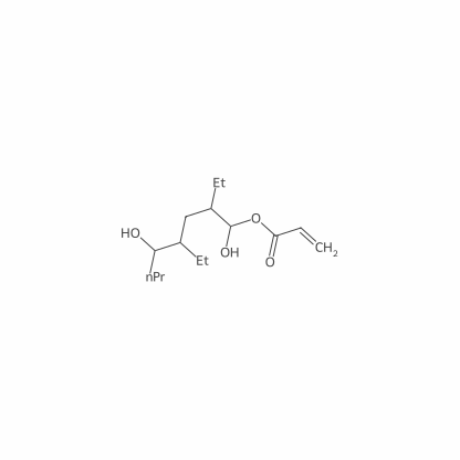 C=CC(=O)OC(O)C(CC)CC(CC)C(O)CCC